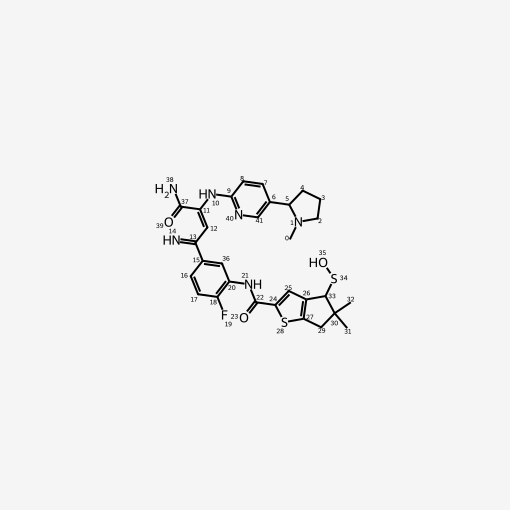 CN1CCCC1c1ccc(N/C(=C/C(=N)c2ccc(F)c(NC(=O)c3cc4c(s3)CC(C)(C)C4SO)c2)C(N)=O)nc1